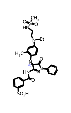 CCN(CCNS(C)(=O)=O)c1ccc(/N=C2\C(=O)N(c3ccccc3)N=C2NC(=O)c2cccc(S(=O)(=O)O)c2)c(C)c1